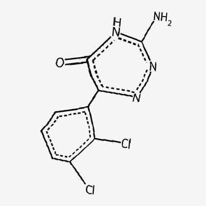 Nc1nnc(-c2cccc(Cl)c2Cl)c(=O)[nH]1